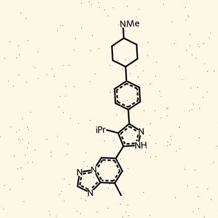 CNC1CCC(c2ccc(-c3n[nH]c(-c4cc(C)c5ncnn5c4)c3C(C)C)cc2)CC1